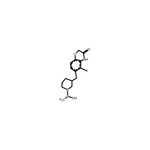 CB(O)N1CCCC(Cc2ccc3c(c2F)NC(=O)CO3)C1